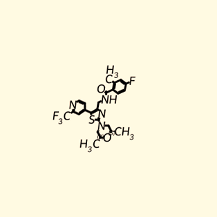 Cc1cc(F)ccc1C(=O)NCc1nc(N2C[C@@H](C)O[C@@H](C)C2)sc1-c1ccnc(C(F)(F)F)c1